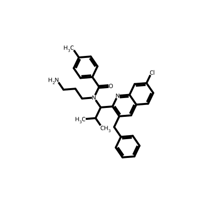 Cc1ccc(C(=O)N(CCCN)C(c2nc3cc(Cl)ccc3cc2Cc2ccccc2)C(C)C)cc1